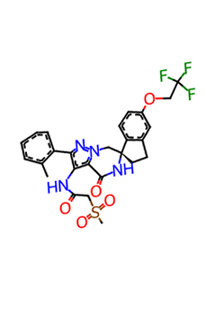 Cc1ccccc1-c1nn2c(c1NC(=O)CS(C)(=O)=O)C(=O)N[C@]1(CCc3cc(OCC(F)(F)F)ccc31)C2